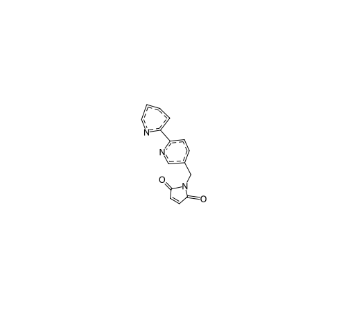 O=C1C=CC(=O)N1Cc1ccc(-c2ccccn2)nc1